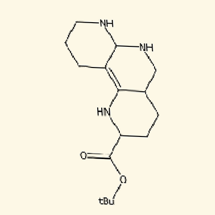 CC(C)(C)OC(=O)C1CCC2CNC3NCCCC3=C2N1